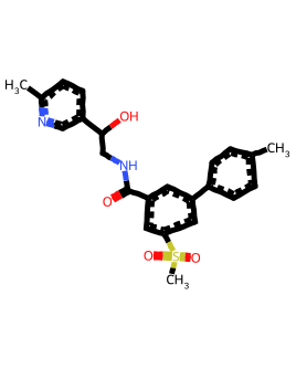 Cc1ccc(-c2cc(C(=O)NCC(O)c3ccc(C)nc3)cc(S(C)(=O)=O)c2)cc1